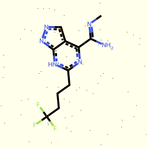 CN=C(N)c1nc(CCCC(F)(F)F)[nH]c2nncc1-2